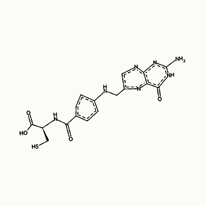 Nc1nc2ncc(CNc3ccc(C(=O)N[C@@H](CS)C(=O)O)cc3)nc2c(=O)[nH]1